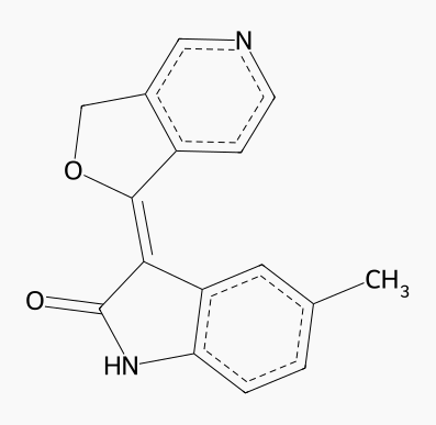 Cc1ccc2c(c1)/C(=C1/OCc3cnccc31)C(=O)N2